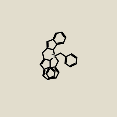 C1=C2CC3=Cc4ccccc4[CH]3[Ti]([CH2]c3ccccc3)([CH2]c3ccccc3)[CH]2c2ccccc21